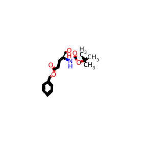 CC(C)(C)OC(=O)N[C@H](CO)CCC(=O)OCc1ccccc1